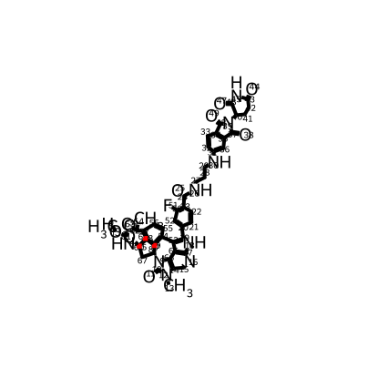 COC(=O)N[C@@H]1CC[C@@H](n2c(=O)n(C)c3cnc4[nH]c(-c5ccc(C(=O)NCCCNc6ccc7c(c6)C(=O)N(C6CCC(=O)NC6=O)C7=O)c(F)c5)c(-c5ccc6c(c5)COC6(C)C)c4c32)C1